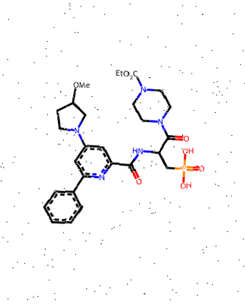 CCOC(=O)N1CCN(C(=O)C(CP(=O)(O)O)NC(=O)c2cc(N3CCC(OC)C3)cc(-c3ccccc3)n2)CC1